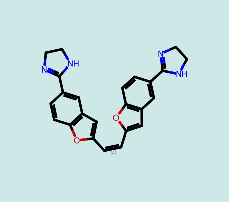 C(=C/c1cc2cc(C3=NCCN3)ccc2o1)/c1cc2cc(C3=NCCN3)ccc2o1